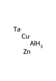 [AlH3].[Cu].[Ta].[Zn]